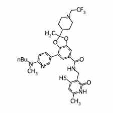 CCCCN(C)c1ccc(-c2cc(C(=O)NCc3c(S)cc(C)[nH]c3=O)cc3c2OC(C)(C2CCN(CC(F)(F)F)CC2)O3)cn1